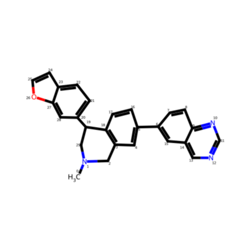 CN1Cc2cc(-c3ccc4ncncc4c3)ccc2C(c2ccc3ccoc3c2)C1